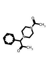 CC(=O)C(c1ccccc1)N1CCN(C(C)=O)CC1